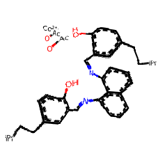 CC(=O)[O-].CC(=O)[O-].CC(C)CCc1ccc(O)c(C=Nc2cccc3cccc(N=Cc4cc(CCC(C)C)ccc4O)c23)c1.[Co+2]